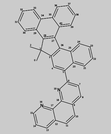 CC1(C)c2cc(-c3ccc4ccc5cccnc5c4n3)c3ccccc3c2-c2c1c1ccccc1c1ccccc21